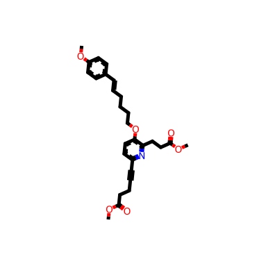 COC(=O)CCC#Cc1ccc(OCCCCC=Cc2ccc(OC)cc2)c(CCC(=O)OC)n1